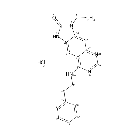 CCn1c(=O)[nH]c2cc3c(NCCc4ccccc4)ncnc3cc21.Cl